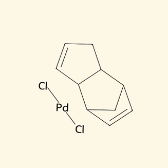 C1=CC2C3C=CC(C3)C2C1.[Cl][Pd][Cl]